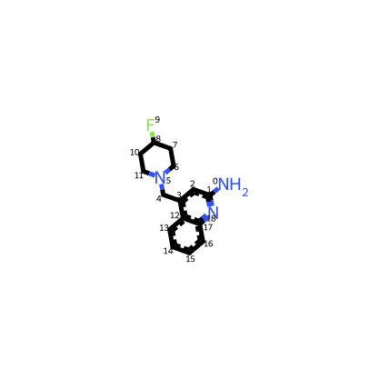 Nc1cc(CN2CCC(F)CC2)c2ccccc2n1